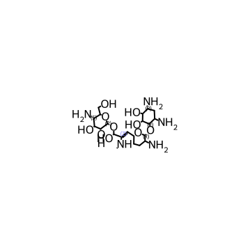 CN/C(=C\C1CCC(N)[C@@H](O[C@@H]2C(N)C[C@@H](N)C(O)C2O)O1)C(O)O[C@H]1OC(CO)[C@@H](N)C(O)C1O